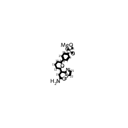 COCS(=O)(=O)c1ccc(C2CCCC(C(CC(N)=O)c3nccs3)O2)cc1